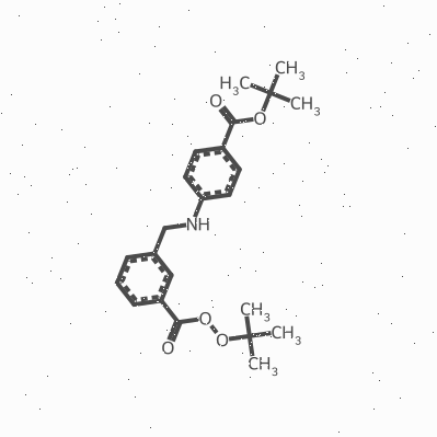 CC(C)(C)OOC(=O)c1cccc(CNc2ccc(C(=O)OC(C)(C)C)cc2)c1